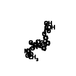 CS(=O)(=O)c1cncc(COc2nc(OCc3cccc(-c4cccc(-c5ccc(OCCN(CCO)C(=O)O)cc5)c4Cl)c3Cl)c(Cl)cc2C=O)c1